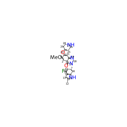 COc1cc2c(Oc3ccc4[nH]c(C)cc4c3F)ncnc2cc1OC1CCNCC1